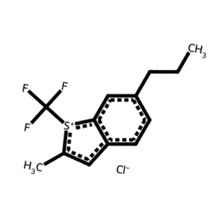 CCCc1ccc2cc(C)[s+](C(F)(F)F)c2c1.[Cl-]